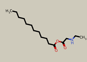 CCCCCCCCCCCC(=O)OC(=O)CNCC